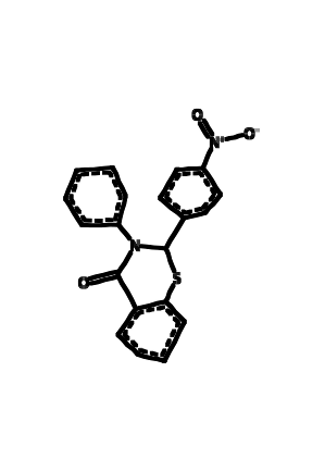 O=C1c2ccccc2SC(c2ccc([N+](=O)[O-])cc2)N1c1ccccc1